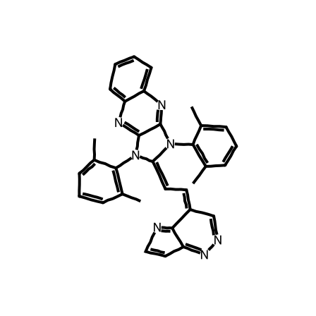 Cc1cccc(C)c1N1C(=C/C=c2/cnnc3c2=NC=C3)N(c2c(C)cccc2C)c2nc3ccccc3nc21